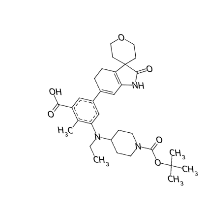 CCN(c1cc(C2=CC3=C(CC2)C2(CCOCC2)C(=O)N3)cc(C(=O)O)c1C)C1CCN(C(=O)OC(C)(C)C)CC1